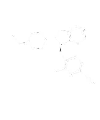 N#Cc1ccc(O[C@@H]2c3ccccc3C[C@H]2N2CCC(CN)CC2)c(Cl)c1